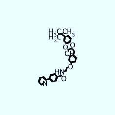 CC(C)(C)c1ccc(OC(Cc2ccc(OCCNC(=O)c3ccc(-c4ccccn4)cc3)cc2)C(=O)O)cc1